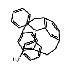 Pc1cc2ccc1CCc1ccc(c(P(c3ccccc3)c3ccccc3)c1)CC2